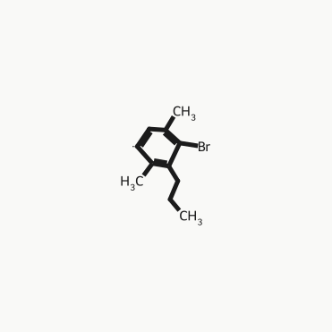 CCCc1c(C)[c]cc(C)c1Br